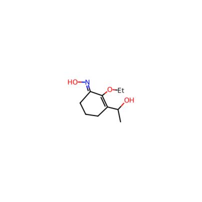 CCOC1=C(C(C)O)CCCC1=NO